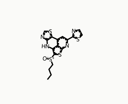 CCCC[S+]([O-])c1sc2nc(-c3nccs3)cc3c2c1Nc1ncsc1-3